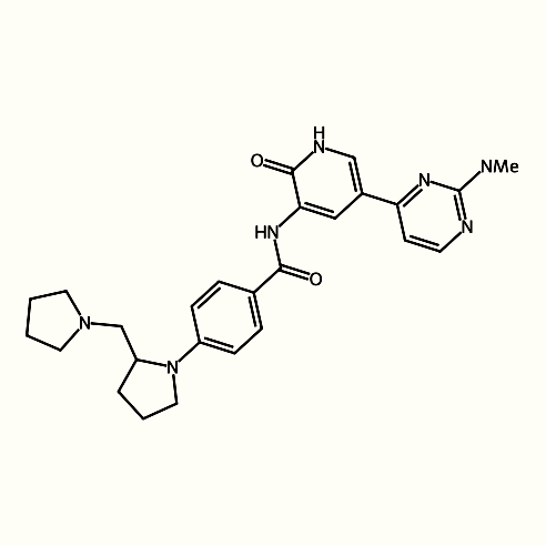 CNc1nccc(-c2c[nH]c(=O)c(NC(=O)c3ccc(N4CCCC4CN4CCCC4)cc3)c2)n1